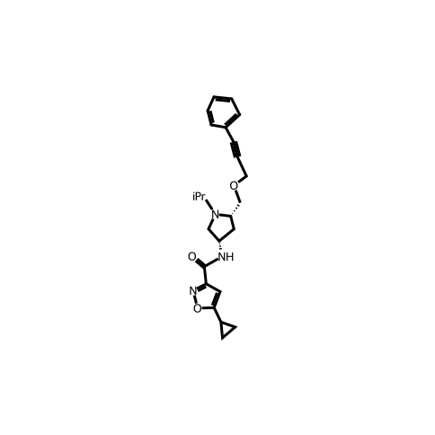 CC(C)N1C[C@@H](NC(=O)c2cc(C3CC3)on2)C[C@H]1COCC#Cc1ccccc1